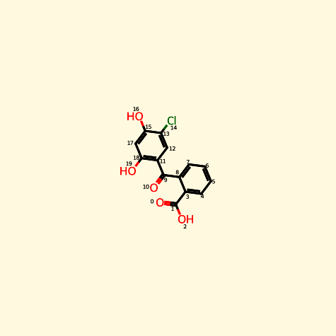 O=C(O)c1ccccc1C(=O)c1cc(Cl)c(O)cc1O